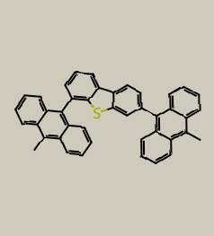 Cc1c2ccccc2c(-c2ccc3c(c2)sc2c(-c4c5ccccc5c(C)c5ccccc45)cccc23)c2ccccc12